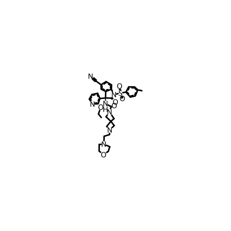 CCOc1ncccc1[C@@]1(NC(=O)N2CC3(CN(CCN4CCOCC4)C3)C2)C(=O)N(S(=O)(=O)c2ccc(C)cc2)c2ccc(C#N)cc21